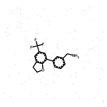 NCc1cccc(-c2cc(C(F)(F)F)cc3c2O[CH]C3)c1